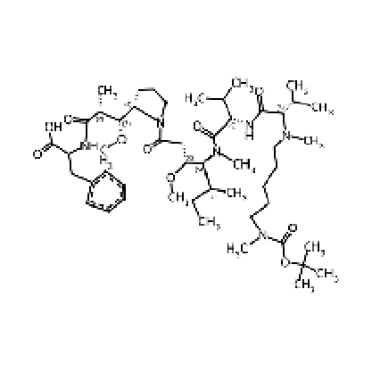 CC[C@H](C)[C@@H]([C@@H](CC(=O)N1CCC[C@H]1[C@H](OC)[C@@H](C)C(=O)NC(Cc1ccccc1)C(=O)O)OC)N(C)C(=O)[C@@H](NC(=O)[C@H](C(C)C)N(C)CCCCCN(C)C(=O)OC(C)(C)C)C(C)C